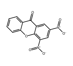 O=c1c2ccccc2oc2c([N+](=O)[O-])cc([N+](=O)[O-])cc12